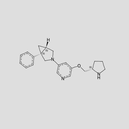 c1ccc([C@]23C[C@@H]2CN(c2cncc(OC[C@@H]4CCCN4)c2)C3)cc1